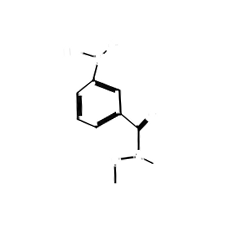 CON(C)C(=O)c1cccc(B(O)O)c1